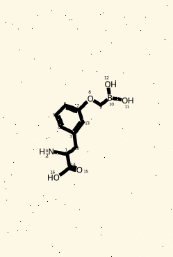 NC(Cc1cccc(OCB(O)O)c1)C(=O)O